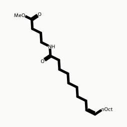 CCCCCCCC/C=C\CCCCCCCC(=O)NCCCC(=O)OC